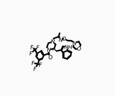 CC(CN1CCN(C(=O)c2cc(C(F)(F)F)cc(C(F)(F)F)c2)[C@H](Cc2c[nH]c3ccccc23)C1)=NOCCN1CCOCC1